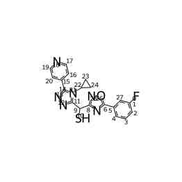 Fc1cccc(-c2nc(C(S)c3nnc(-c4ccncc4)n3C3CC3)no2)c1